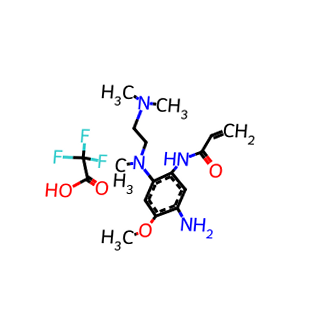 C=CC(=O)Nc1cc(N)c(OC)cc1N(C)CCN(C)C.O=C(O)C(F)(F)F